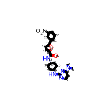 CN(C)c1ccnc(N[C@H]2CC[C@@H](NC(=O)c3ccc(-c4cccc([N+](=O)[O-])c4)o3)CC2)n1